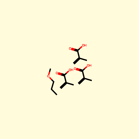 C=C(C)C(=O)O.C=C(C)C(=O)O.C=C(C)C(=O)O.CCCOC